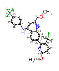 COCc1cc(Nc2ccc(C(F)(F)F)cc2)c2ccc(-c3nc(OC)ccc3C(F)(F)F)cc2n1